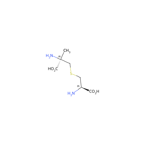 C[C@](N)(CSC[C@H](N)C(=O)O)C(=O)O